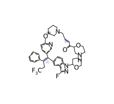 O=C(/C=C/CN1CCC[C@@H](Oc2ccc(/C(=C(/CC(F)(F)F)c3ccccc3)c3ccc4c(c3)c(F)nn4C3CCCCO3)cn2)C1)C1CNCCO1